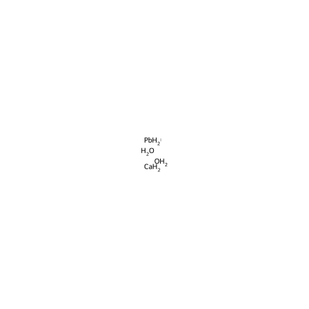 O.O.[CaH2].[PbH2]